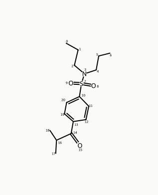 CCCN(CCC)S(=O)(=O)c1ccc(C(=O)C(C)C)cc1